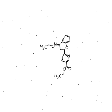 CCON=C1CC(c2ccc(C(=O)OCC)cn2)Oc2ccccc21